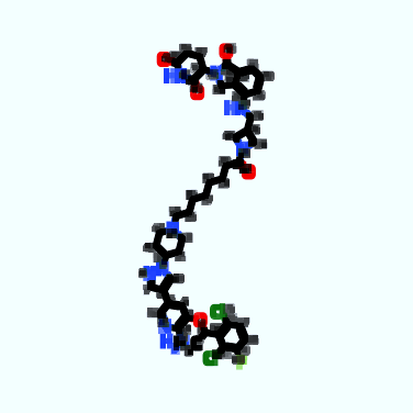 CC(Oc1cc(-c2cnn(C3CCN(CCCCCCCC(=O)N4CC(CNc5cccc6c5CN(C5CCC(=O)NC5=O)C6=O)C4)CC3)c2)cnc1N)c1c(Cl)ccc(F)c1Cl